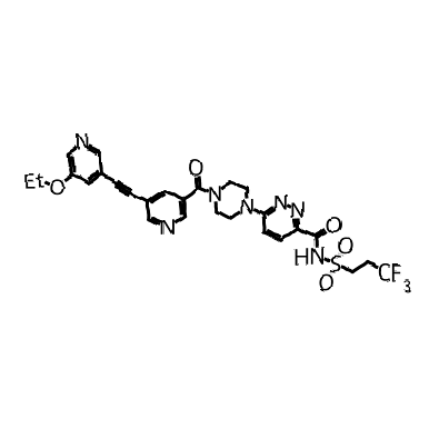 CCOc1cncc(C#Cc2cncc(C(=O)N3CCN(c4ccc(C(=O)NS(=O)(=O)CCC(F)(F)F)nn4)CC3)c2)c1